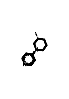 C[C@@H]1CCCN(c2ccncc2)C1